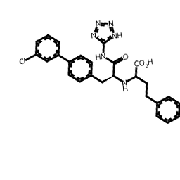 O=C(O)C(CCc1ccccc1)N[C@@H](Cc1ccc(-c2cccc(Cl)c2)cc1)C(=O)Nc1nnn[nH]1